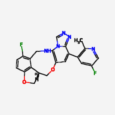 Cc1ncc(F)cc1-c1cc2c(n3cnnc13)NCc1c(F)ccc3c1[C@@H](CO3)CO2